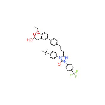 CCOc1ccc(-c2ccc(CCCc3nn(-c4ccc(C(F)(F)F)cc4)c(=O)n3-c3ccc(C(C)(C)C)cc3)cc2)cc1CC(=O)O